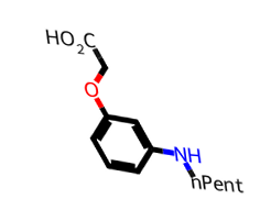 CCCCCNc1cccc(OCC(=O)O)c1